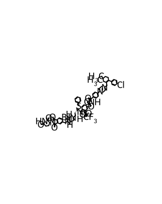 CC1(C)CCC(c2ccc(Cl)cc2)=C(CN2CCN(c3ccc(C(=O)NS(=O)(=O)c4ccc(N[C@H](CCN5C[C@H]6C[C@@H]5CN6Cc5cc6c(cc5Br)C(=O)N(C5CCC(=O)NC5=O)C6=O)CSc5ccccc5)c(S(=O)(=O)C(F)(F)F)c4)cc3)CC2)C1